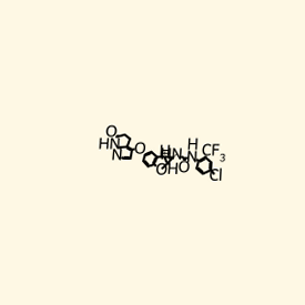 O=C1CCc2c(Oc3ccc4c(c3)[C@H]3[C@H](NC(=O)Nc5ccc(Cl)cc5C(F)(F)F)[C@H]3O4)ccnc2N1